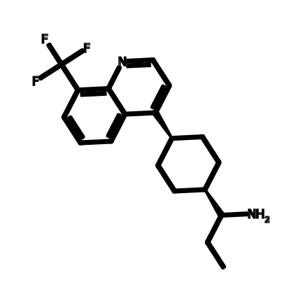 CCC(N)[C@H]1CC[C@@H](c2ccnc3c(C(F)(F)F)cccc32)CC1